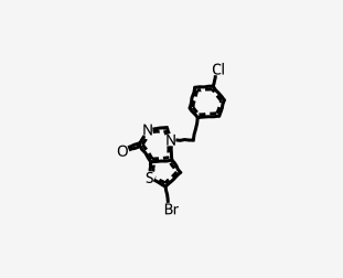 O=c1ncn(Cc2ccc(Cl)cc2)c2cc(Br)sc12